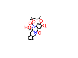 COc1cc2c(cc1OC(C)C)N(C(=O)OC(C)(C)C)C(O)[C@@H]1Cc3ccccc3CN1C2=O